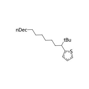 CCCCCCCCCCCCCCCCC(c1cccs1)C(C)(C)C